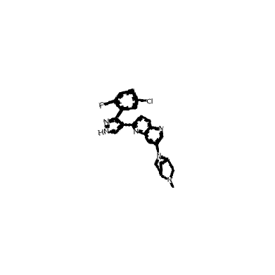 CN1CC2CC1CN2c1cnc2ccc(-c3c[nH]nc3-c3cc(Cl)ccc3F)nc2c1